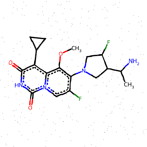 COc1c(N2CC(F)C(C(C)N)C2)c(F)cn2c(=O)[nH]c(=O)c(C3CC3)c12